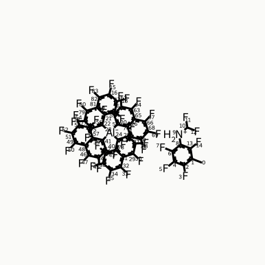 Cc1c(F)c(F)c(F)c([NH2+]C(F)F)c1F.Fc1c(F)c(F)c2[c]([Al-]([c]3c(F)c(F)c(F)c4c(F)c(F)c(F)c(F)c34)([c]3c(F)c(F)c(F)c4c(F)c(F)c(F)c(F)c34)[c]3c(F)c(F)c(F)c4c(F)c(F)c(F)c(F)c34)c(F)c(F)c(F)c2c1F